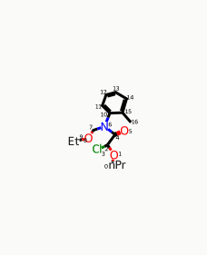 CCCOC(Cl)C(=O)N(COCC)c1ccccc1C